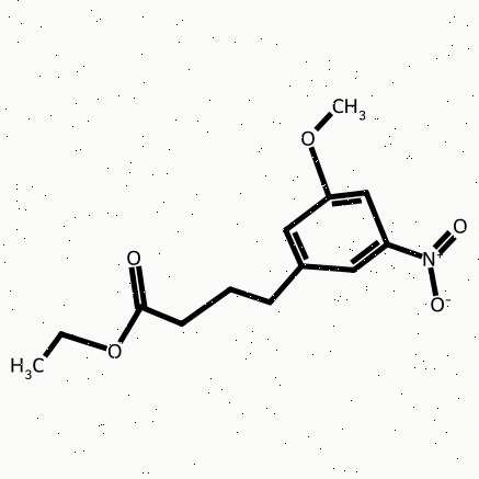 CCOC(=O)CCCc1cc(OC)cc([N+](=O)[O-])c1